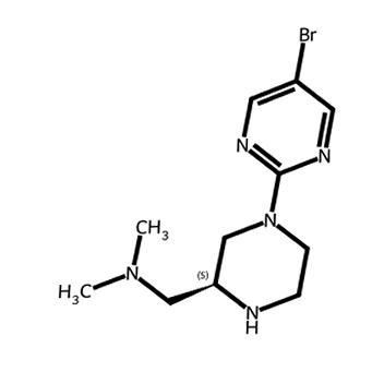 CN(C)C[C@H]1CN(c2ncc(Br)cn2)CCN1